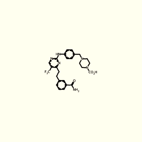 NC(=O)c1cccc(CCc2nc(Nc3ccc(CN4CCN(C(=O)O)CC4)cc3)ncc2C(F)(F)F)c1